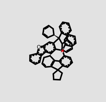 C[C@@H]1CC=CC2=C1c1c(N(c3ccccc3)c3cc4c(cc3C3([C@H]5C=CC=CC5)c5ccccc5C5=CC=CCC53)oc3ccccc34)cccc1C21CCCC1